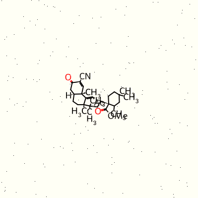 COC(=O)[C@]1(CCC(C)(C)[C@]2(C)CC[C@H]3CC(=O)C(C#N)=C[C@]3(C)/C2=C/C(C)=O)CCC(C)(C)CC1C